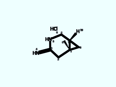 C[C@]12CC(=N)NC[C@@H]1C2.Cl